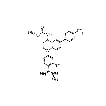 CC(C)(C)OC(=O)NC1CCN(c2ccc(C(=N)NO)c(Cl)c2)c2ccc(-c3ccc(C(F)(F)F)cc3)cc21